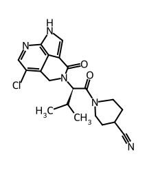 CC(C)[C@H](C(=O)N1CCC(C#N)CC1)N1Cc2c(Cl)cnc3[nH]cc(c23)C1=O